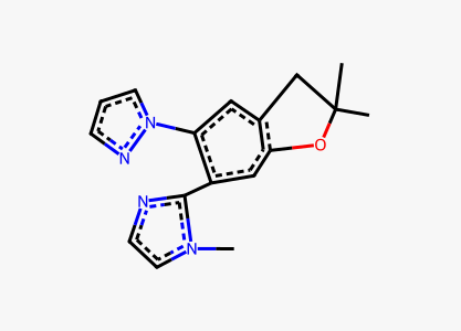 Cn1ccnc1-c1cc2c(cc1-n1cccn1)CC(C)(C)O2